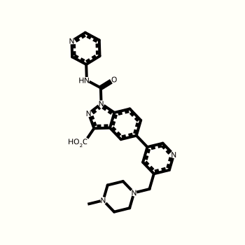 CN1CCN(Cc2cncc(-c3ccc4c(c3)c(C(=O)O)nn4C(=O)Nc3cccnc3)c2)CC1